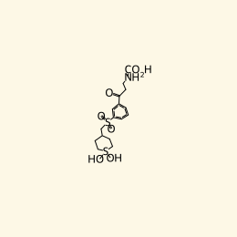 O=C(O)NCCC(=O)c1cccc(S(=O)(=O)CC2CCS(O)(O)CC2)c1